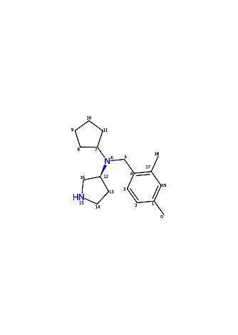 Cc1ccc(CN(C2CCCC2)[C@H]2CCNC2)c(C)c1